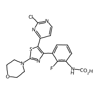 O=C(O)Nc1cccc(-c2nc(N3CCOCC3)sc2-c2ccnc(Cl)n2)c1F